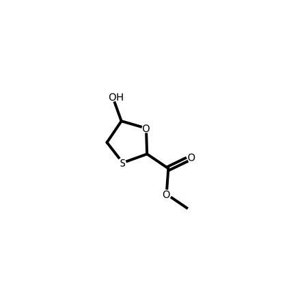 COC(=O)C1OC(O)CS1